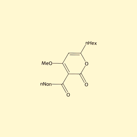 CCCCCCCCCC(=O)c1c(OC)cc(CCCCCC)oc1=O